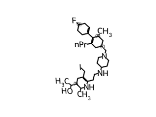 CCCC1=C(C2=CC[C@H](F)CC2)[C@@H](C)C[C@@H](CN2CCC(NCCC3=C(CI)C[C@H](C(C)O)C(C)N3)CC2)C1